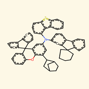 c1ccc2c(c1)Oc1c(C3CC4CCC3C4)cc(N(c3ccc4c(c3)C3(CCCCC3)c3ccccc3-4)c3cccc4sc5ccccc5c34)cc1C21c2ccccc2-c2ccccc21